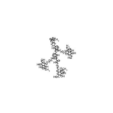 CNP(=O)(S)O[C@H]1CC[C@@H](C(=O)N[C@@H](CCC(=O)N[C@@H](CCC(=O)NCCOCCOC2OC(CO)C(O)C(O)C2NC(C)=O)C(=O)NCCOCCOC2OC(CO)C(O)C(O)C2NC(C)=O)C(=O)NCCOCCOC2OC(CO)C(O)C(O)C2NC(C)=O)CC1